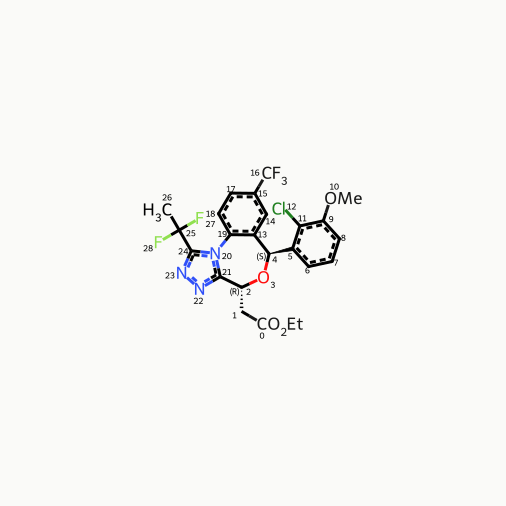 CCOC(=O)C[C@H]1O[C@H](c2cccc(OC)c2Cl)c2cc(C(F)(F)F)ccc2-n2c1nnc2C(C)(F)F